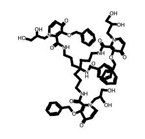 O=C(NC(CCCNC(=O)c1c(OCc2ccccc2)c(=O)ccn1CC(O)CO)(CCCNC(=O)c1c(OCc2ccccc2)c(=O)ccn1CC(O)CO)CCCNC(=O)c1c(OCc2ccccc2)c(=O)ccn1CC(O)CO)c1ccccc1